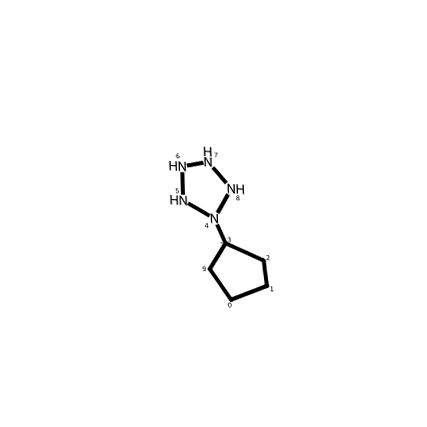 C1CC[C](n2[nH][nH][nH][nH]2)C1